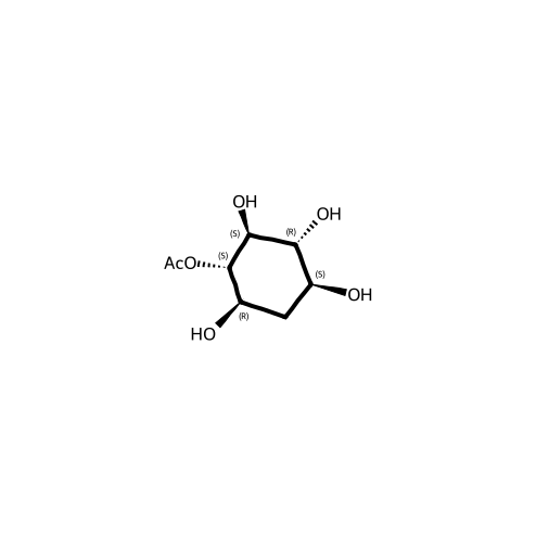 CC(=O)O[C@@H]1[C@@H](O)[C@H](O)[C@@H](O)C[C@H]1O